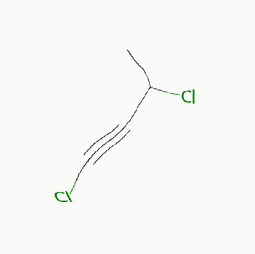 CC(Cl)C#CCl